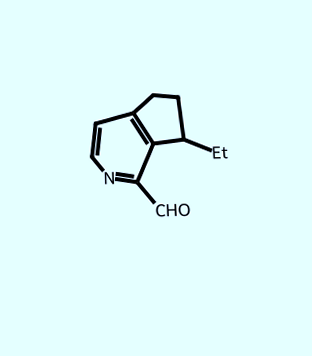 CCC1CCc2ccnc(C=O)c21